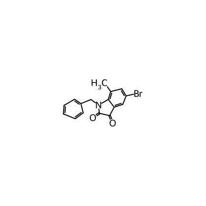 Cc1cc(Br)cc2c1N(Cc1ccccc1)C(=O)C2=O